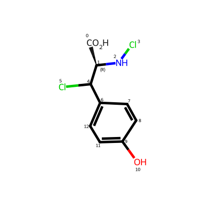 O=C(O)[C@@H](NCl)C(Cl)c1ccc(O)cc1